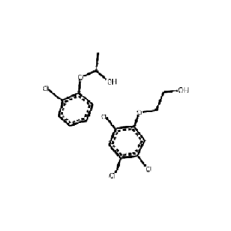 CC(O)Oc1ccccc1Cl.OCCOc1cc(Cl)c(Cl)cc1Cl